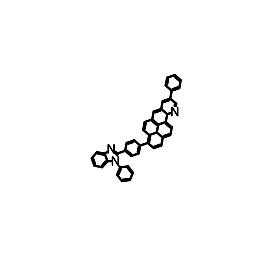 C1=CC(c2ccc(-c3nc4ccccc4n3-c3ccccc3)cc2)=C2C=CC3=C4C(=CC=C1C24)C1N=CC(c2ccccc2)=CC1=C3